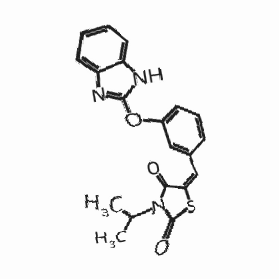 CC(C)N1C(=O)SC(=Cc2cccc(Oc3nc4ccccc4[nH]3)c2)C1=O